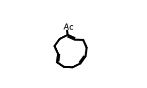 CC(=O)/C1=C\CC/C=C\CC/C=C/CC1